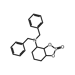 O=S1OC2CCCC(N(Cc3ccccc3)Cc3ccccc3)C2O1